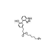 CC(C)CCCCCOC(=O)CCc1ccc(O)c(-c2cccc3[nH]nnc23)c1